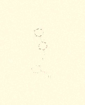 O=COC1CCCCC1SCCc1ccc(-c2ccccc2)cc1